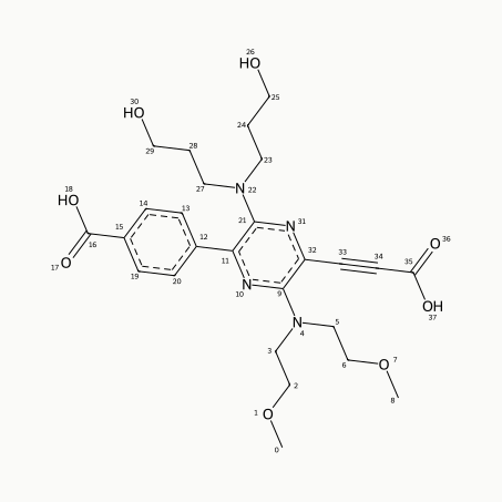 COCCN(CCOC)c1nc(-c2ccc(C(=O)O)cc2)c(N(CCCO)CCCO)nc1C#CC(=O)O